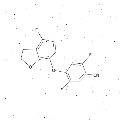 N#Cc1cc(F)c(Oc2ccc(F)c3c2OCC3)cc1F